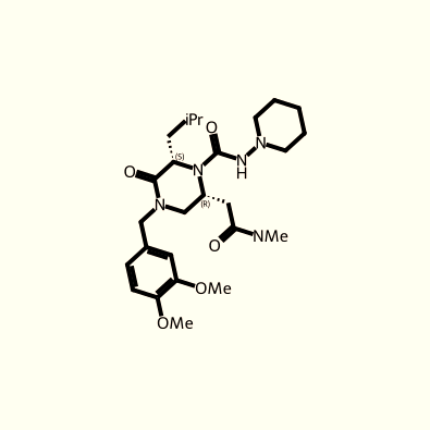 CNC(=O)C[C@@H]1CN(Cc2ccc(OC)c(OC)c2)C(=O)[C@H](CC(C)C)N1C(=O)NN1CCCCC1